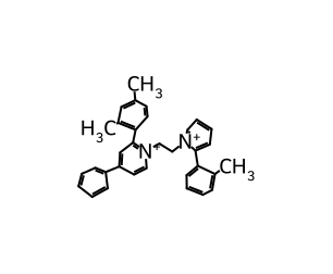 Cc1ccc(-c2cc(-c3ccccc3)cc[n+]2CC[n+]2ccccc2-c2ccccc2C)c(C)c1